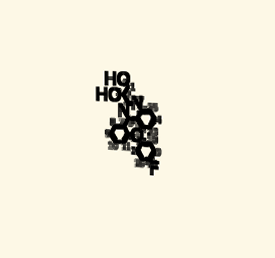 OCC(O)c1nc(-c2ccccc2Oc2ccc(F)cc2)c2ccccc2n1